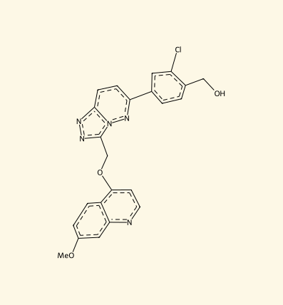 COc1ccc2c(OCc3nnc4ccc(-c5ccc(CO)c(Cl)c5)nn34)ccnc2c1